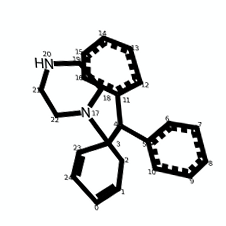 C1=CCC(C(c2ccccc2)c2ccccc2)(N2CCNCC2)C=C1